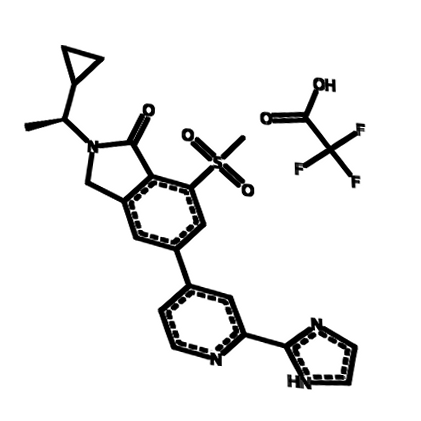 C[C@@H](C1CC1)N1Cc2cc(-c3ccnc(-c4ncc[nH]4)c3)cc(S(C)(=O)=O)c2C1=O.O=C(O)C(F)(F)F